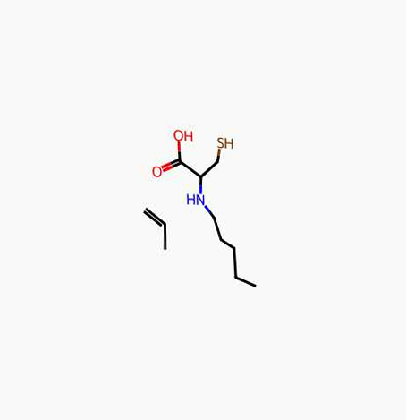 C=CC.CCCCCNC(CS)C(=O)O